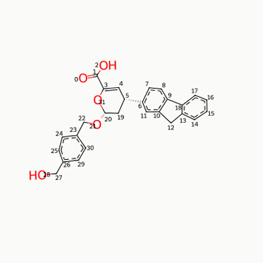 O=C(O)C1=C[C@H](c2ccc3c(c2)Cc2ccccc2-3)C[C@H](OCc2ccc(CO)cc2)O1